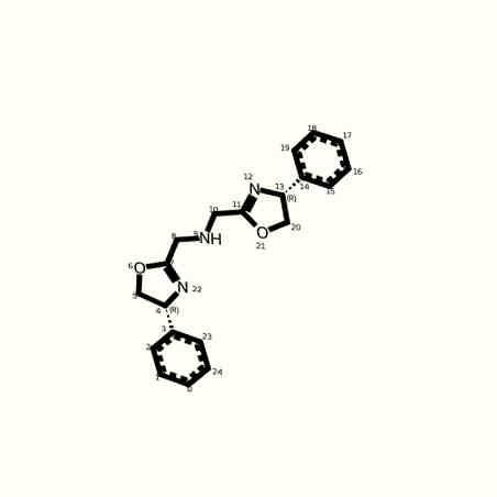 c1ccc([C@@H]2COC(CNCC3=N[C@H](c4ccccc4)CO3)=N2)cc1